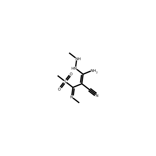 C/N=C(\C(C#N)=C(\N)NNC)S(C)(=O)=O